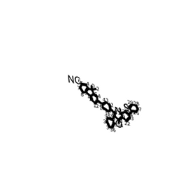 CC1(C)c2cc(C#N)ccc2-c2ccc(-c3ccc(-c4nc5c(ccc6c7ccccc7sc65)c5oc6ccccc6c45)cc3)cc21